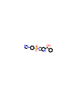 O=S(=O)(c1ccc(-n2ccnc2)cc1)N1Cc2cnc(C(O)c3ccccc3)cc2C1